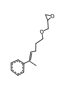 CC(=CCCCOCC1CO1)c1ccccc1